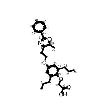 CCCc1cc(OCCc2nc(-c3ccccc3)oc2C)cc(CCC)c1OCC(=O)O